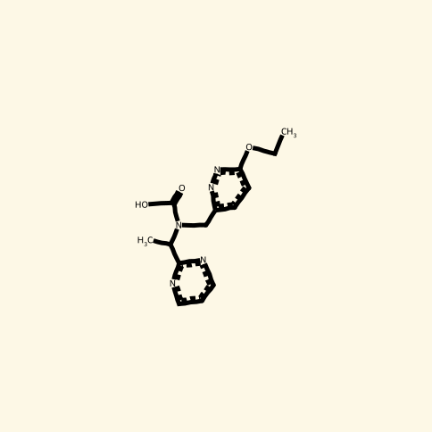 CCOc1ccc(CN(C(=O)O)C(C)c2ncccn2)nn1